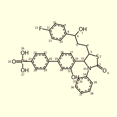 O=C1SC(CCC(O)c2ccc(F)cc2)C(c2ccc(-c3ccc(P(=O)(O)O)cc3)cc2O)N1c1ccccc1